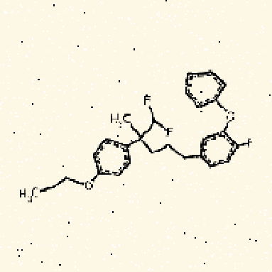 CCCOc1ccc(C(C)(CCCc2ccc(F)c(Oc3ccccc3)c2)C(F)F)cc1